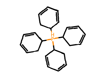 C1=CCC([PH](C2C=CC=CC2)(C2C=CC=CC2)C2C=CC=CC2)C=C1